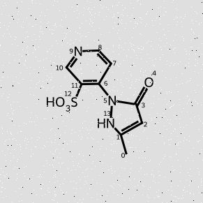 Cc1cc(=O)n(-c2ccncc2S(=O)(=O)O)[nH]1